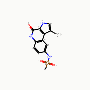 CS(=O)(=O)Nc1ccc2[nH]c(=O)c3[nH]cc(C(=O)O)c3c2c1